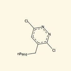 CCCCCCc1cc(Cl)nnc1Cl